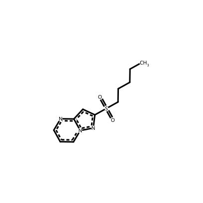 CCCCCS(=O)(=O)c1cc2ncccn2n1